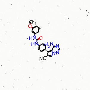 N#Cc1cn2ncnc(N)c2c1-c1ccc(NC(=O)Nc2cccc(OC(F)(F)F)c2)cc1